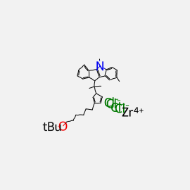 Cc1ccc2c(c1)c1c(n2C)-c2ccccc2C1C(C)(C)C1C=CC(CCCCCCOC(C)(C)C)=C1.[Cl-].[Cl-].[Cl-].[Cl-].[Zr+4]